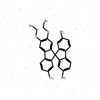 Bc1ccc2c(c1)C1(c3cc(B)ccc3-2)c2cc(C)ccc2-c2cc(OCC(C)CC)c(OCC(C)CC)cc21